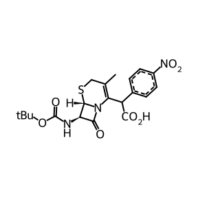 CC1=C(C(C(=O)O)c2ccc([N+](=O)[O-])cc2)N2C(=O)[C@@H](NC(=O)OC(C)(C)C)[C@@H]2SC1